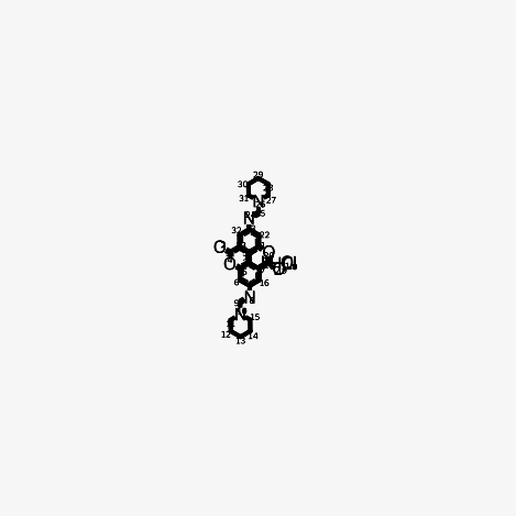 Cl.O.O=c1oc2cc(N=CN3CCCCC3)cc3c(=O)oc4cc(N=CN5CCCCC5)cc1c4c23